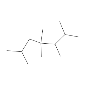 CC(C)CC(C)(C)C(C)C(C)C